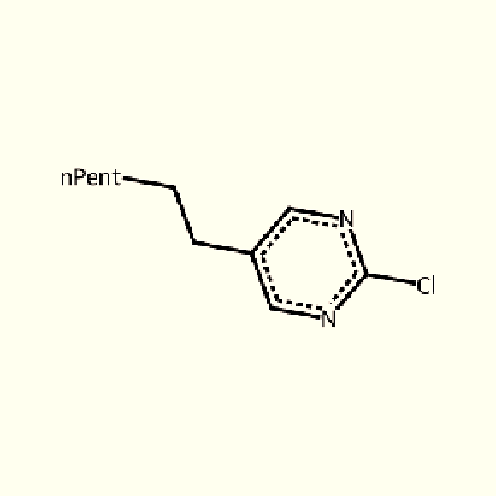 CCCCCCCc1cnc(Cl)nc1